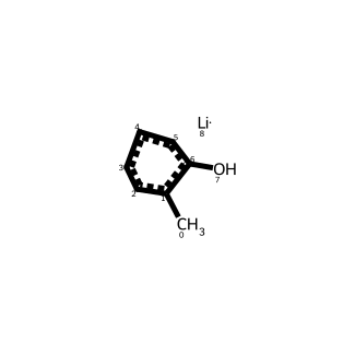 Cc1ccccc1O.[Li]